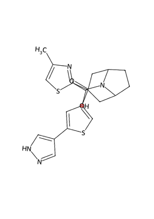 Cc1csc(C2(O)CC3CCC(C2)N3C(=O)c2csc(-c3cn[nH]c3)c2)n1